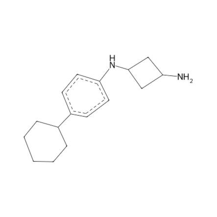 NC1CC(Nc2ccc(C3CCCCC3)cc2)C1